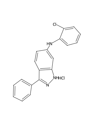 Cl.Clc1ccccc1Nc1ccc2c(-c3ccccc3)n[nH]c2c1